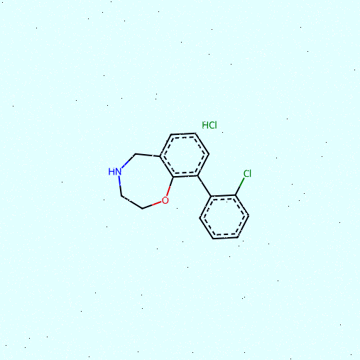 Cl.Clc1ccccc1-c1cccc2c1OCCNC2